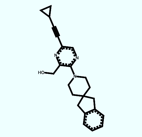 OCc1nc(C#CC2CC2)cnc1N1CCC2(CC1)Cc1ccccc1C2